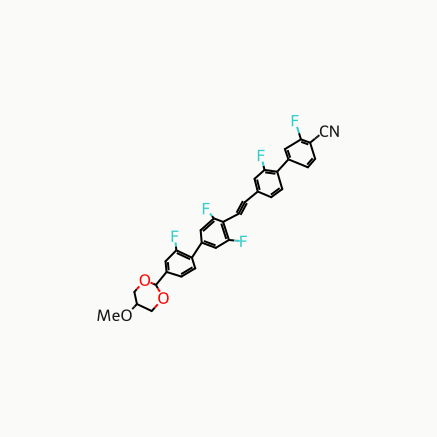 COC1COC(c2ccc(-c3cc(F)c(C#Cc4ccc(-c5ccc(C#N)c(F)c5)c(F)c4)c(F)c3)c(F)c2)OC1